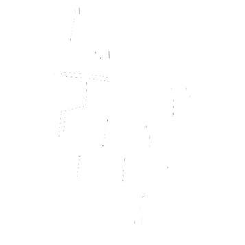 Cc1ccc(S(=O)(=O)NCC(C)(C)C)cc1-c1cc(Cl)ccc1OCC(=O)O